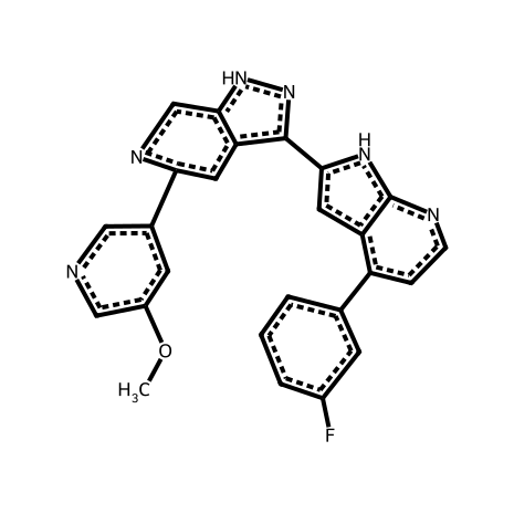 COc1cncc(-c2cc3c(-c4cc5c(-c6cccc(F)c6)ccnc5[nH]4)n[nH]c3cn2)c1